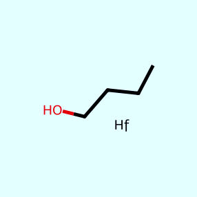 CCCCO.[Hf]